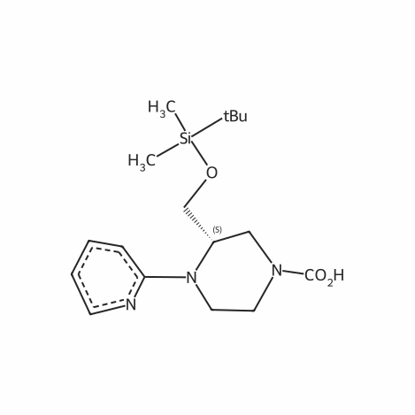 CC(C)(C)[Si](C)(C)OC[C@@H]1CN(C(=O)O)CCN1c1ccccn1